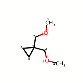 COCC1(COC)CC1